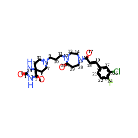 O=C1NC(=O)C2(CCN(CCCN3CCN(C(=O)C=Cc4ccc(F)c(Cl)c4)CCC3=O)CC2)N1